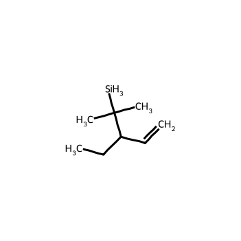 C=CC(CC)C(C)(C)[SiH3]